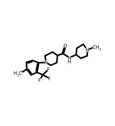 Cc1ccc(N2CCC(C(=O)NC3CCN(C)CC3)CC2)c(C(F)(F)F)c1